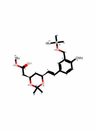 COc1ccc(/C=C/[C@@H]2C[C@H](CC(=O)OC(C)(C)C)OC(C)(C)O2)cc1CO[Si](C)(C)C(C)(C)C